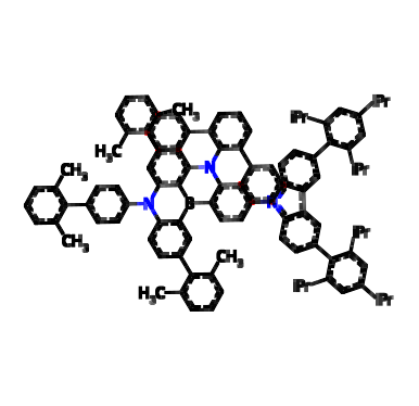 Cc1cccc(C)c1-c1ccc(N2c3ccc(-c4c(C)cccc4C)cc3B3c4ccc(-n5c6ccc(-c7c(C(C)C)cc(C(C)C)cc7C(C)C)cc6c6cc(-c7c(C(C)C)cc(C(C)C)cc7C(C)C)ccc65)cc4N(c4c(-c5ccccc5)cccc4-c4ccccc4)c4cc(-c5c(C)cccc5C)cc2c43)cc1